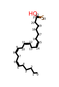 CCCCC/C=C\C/C=C\C/C=C\C/C=C\CCCCCC(O)=S